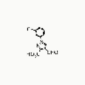 O=Cc1cn(-c2cccc(Cl)c2)nc1C(=O)O